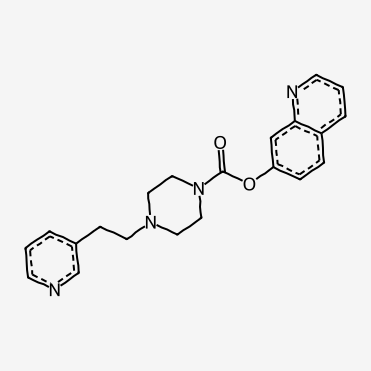 O=C(Oc1ccc2cccnc2c1)N1CCN(CCc2cccnc2)CC1